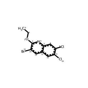 CCOc1nc2cc(Cl)c(Cl)cc2cc1Br